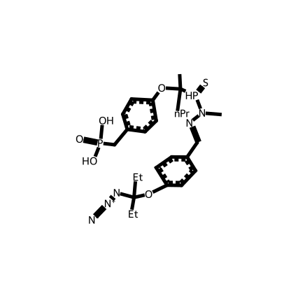 CCCC(C)(Oc1ccc(CP(=O)(O)O)cc1)[PH](=S)N(C)/N=C/c1ccc(OC(CC)(CC)N=[N+]=[N-])cc1